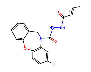 C/C=C/C(=O)NNC(=O)N1Cc2ccccc2Oc2ccc(Cl)cc21